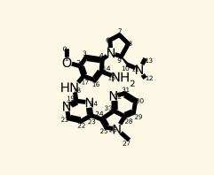 COc1cc(N2CCC[C@H]2CN(C)C)c(N)cc1Nc1nccc(-c2cn(C)c3cccnc23)n1